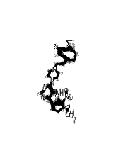 COc1ccc2c([nH]c3c(N4CCN(CCc5ccc(F)c(F)c5)CC4)ncnc32)c1[N+](=O)[O-]